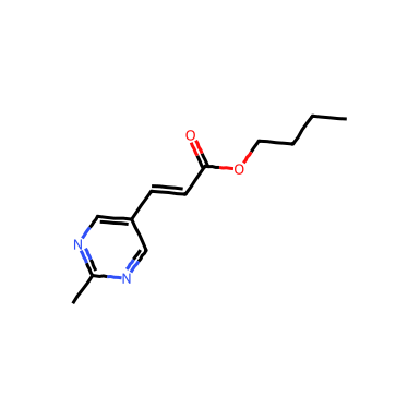 CCCCOC(=O)/C=C/c1cnc(C)nc1